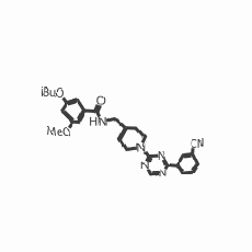 COc1cc(OCC(C)C)cc(C(=O)NCC2CCN(c3ncnc(-c4cccc(C#N)c4)n3)CC2)c1